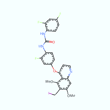 COc1cc2nccc(Oc3ccc(NC(=O)Nc4ccc(F)cc4F)c(F)c3)c2c(OC)c1CI